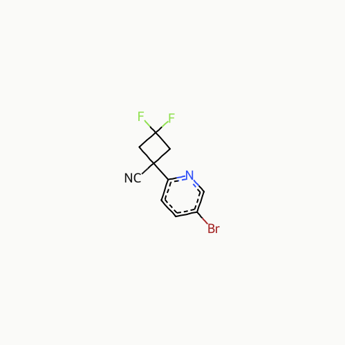 N#CC1(c2ccc(Br)cn2)CC(F)(F)C1